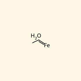 C[CH]=[Fe].O